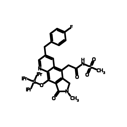 CC(C)[Si](Oc1c2c(c(CC(=O)NS(C)(=O)=O)c3cc(Cc4ccc(F)cc4)cnc13)CN(C)C2=O)(C(C)C)C(C)C